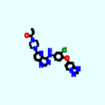 C=CC(=O)N1CCN(c2ccc3ncnc(Nc4ccc(Oc5ccn6ncnc6c5)c(Cl)c4)c3n2)CC1